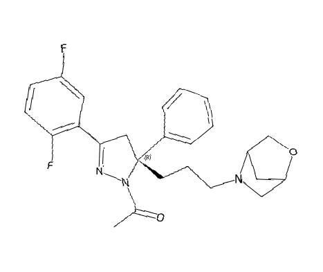 CC(=O)N1N=C(c2cc(F)ccc2F)C[C@]1(CCCN1CC2CC1CO2)c1ccccc1